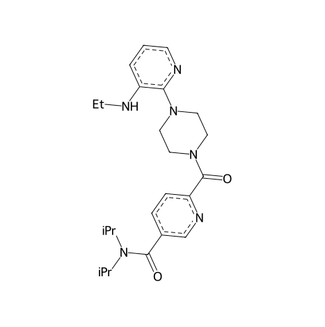 CCNc1cccnc1N1CCN(C(=O)c2ccc(C(=O)N(C(C)C)C(C)C)cn2)CC1